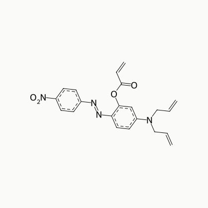 C=CCN(CC=C)c1ccc(N=Nc2ccc([N+](=O)[O-])cc2)c(OC(=O)C=C)c1